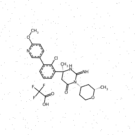 COc1ccc(-c2cccc([C@]3(C)CC(=O)N([C@H]4CCO[C@@H](C)C4)C(=N)N3)c2Cl)cn1.O=C(O)C(F)(F)F